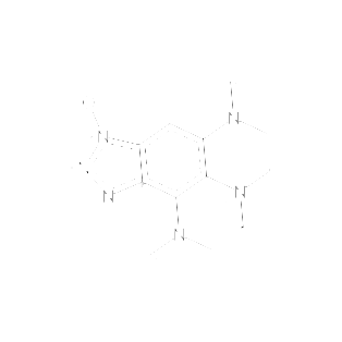 CN(C)c1cc2c(nnn2[O])c(N(C)C)c1N(C)C